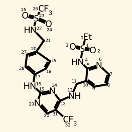 CCS(=O)(=O)Nc1ncccc1CNc1nc(Nc2ccc(CNS(=O)(=O)C(F)(F)F)cc2)ncc1C(F)(F)F